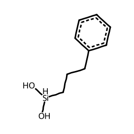 O[SiH](O)CCCc1ccccc1